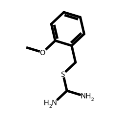 COc1ccccc1CSC(N)N